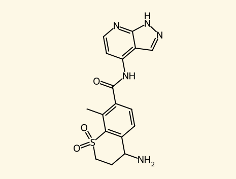 Cc1c(C(=O)Nc2ccnc3[nH]ncc23)ccc2c1S(=O)(=O)CCC2N